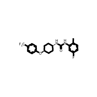 Cc1ccc(F)cc1NC(=O)N[C@H]1CC[C@H](Oc2ccc(C(F)(F)F)cc2)CC1